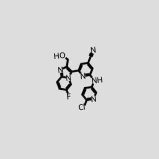 N#Cc1cc(Nc2ccc(Cl)nc2)nc(-c2c(CO)nc3ccc(F)cn23)c1